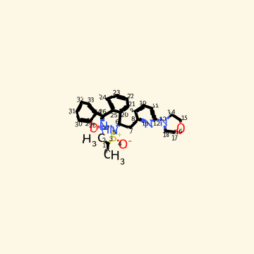 CC(C)[S@+]([O-])NC(Cc1cccc(N2CCOCC2)n1)c1ccccc1-c1noc2ccccc12